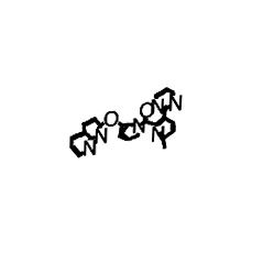 Cc1ccc(-c2ncccn2)c(C(=O)N2CC3CC(Oc4ccc5cccnc5n4)C2C3)n1